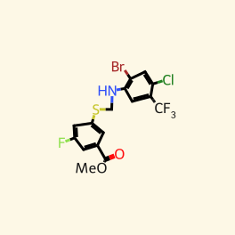 COC(=O)c1cc(F)cc(SCNc2cc(C(F)(F)F)c(Cl)cc2Br)c1